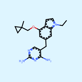 CCn1ccc2c(OCC3(C)CC3)cc(Cc3cnc(N)nc3N)cc21